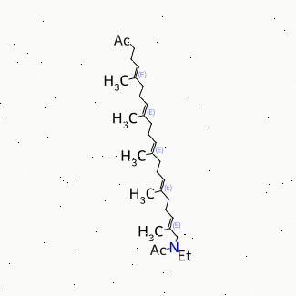 CCN(C/C(C)=C/CC/C(C)=C/CC/C(C)=C/CC/C(C)=C/CC/C(C)=C/CCC(C)=O)C(C)=O